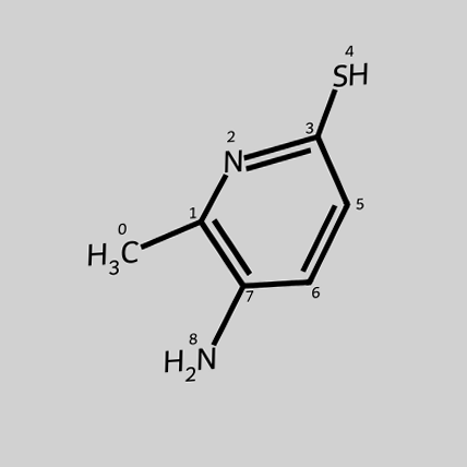 Cc1nc(S)ccc1N